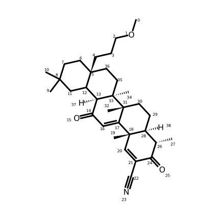 COCCC[C@]12CCC(C)(C)CC1[C@@H]1C(=O)C=C3[C@@]4(C)C=C(C#N)C(=O)[C@@H](C)[C@@H]4CC[C@@]3(C)[C@]1(C)CC2